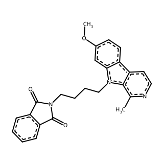 COc1ccc2c3ccnc(C)c3n(CCCCN3C(=O)c4ccccc4C3=O)c2c1